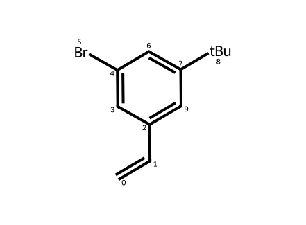 C=Cc1cc(Br)cc(C(C)(C)C)c1